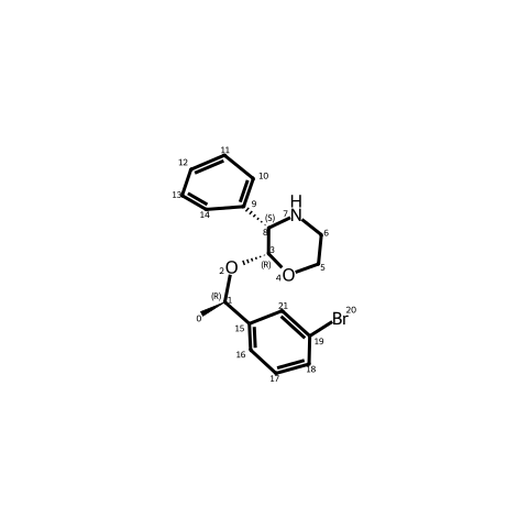 C[C@@H](O[C@H]1OCCN[C@H]1c1ccccc1)c1cccc(Br)c1